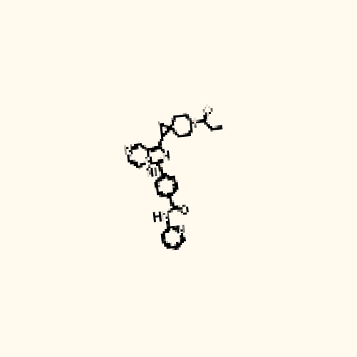 CCC(=O)N1CCC2(CC1)CC2C1=C2C=NC=C[N+]2(N)C(c2ccc(C(=O)Nc3ccccn3)cc2)=N1